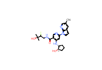 CC(C)(O)C(F)CNC(=O)c1cnc(-n2ccc3cc(C#N)cnc32)cc1N[C@@H]1CCC[C@H]1O